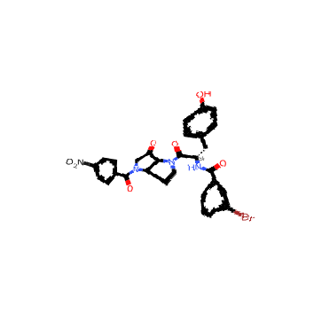 O=C(N[C@@H](Cc1ccc(O)cc1)C(=O)N1CCC2C1C(=O)CN2C(=O)c1ccc([N+](=O)[O-])cc1)c1cccc(Br)c1